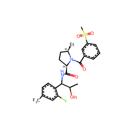 CC[C@@H]1CC[C@H](C(=O)NC(c2ccc(C(F)(F)F)cc2F)C(C)O)N1C(=O)c1cccc(S(C)(=O)=O)c1